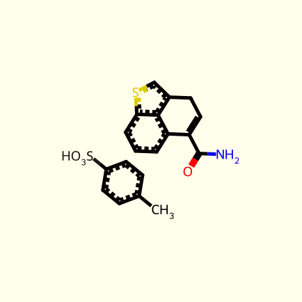 Cc1ccc(S(=O)(=O)O)cc1.NC(=O)C1=CCc2csc3cccc1c23